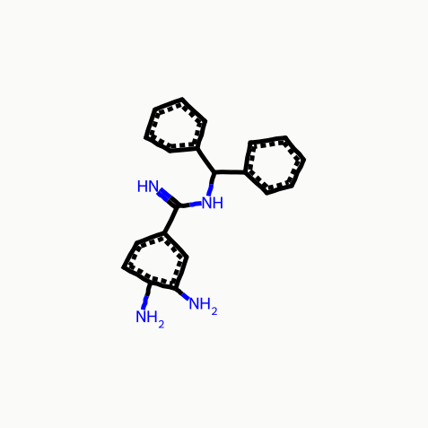 N=C(NC(c1ccccc1)c1ccccc1)c1ccc(N)c(N)c1